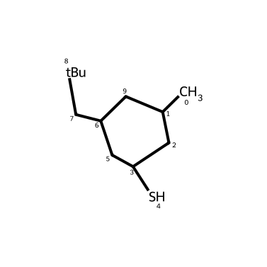 CC1CC(S)CC(CC(C)(C)C)C1